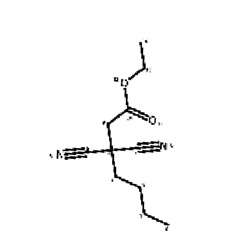 CCCCC(C#N)(C#N)CC(=O)OCC